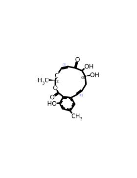 Cc1cc(O)c2c(c1)/C=C/C[C@H](O)C(O)C(=O)/C=C\C[C@H](C)OC2=O